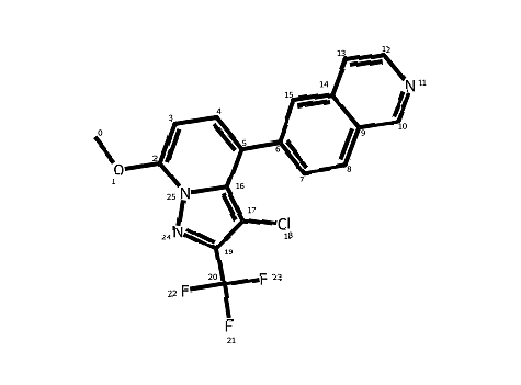 COc1ccc(-c2ccc3cnccc3c2)c2c(Cl)c(C(F)(F)F)nn12